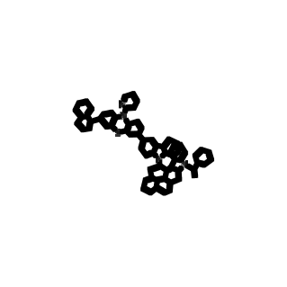 C=C(c1ccccc1)n1c2ccccc2c2c3c(-n4c5ccccc5c5cc(-c6ccc7c(c6)Sc6cc(-c8cccc9ccccc89)ccc6N7c6ccccn6)ccc54)cc4cccc5ccc(cc21)c3c54